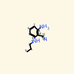 CCCNc1cccc(N)c1C#N